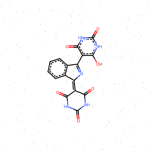 O=C1NC(=O)C(=C2N=C(c3c(O)[nH]c(=O)[nH]c3=O)c3ccccc32)C(=O)N1